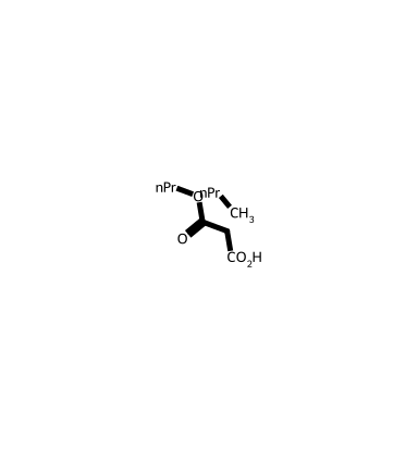 CCCC.CCCOC(=O)CC(=O)O